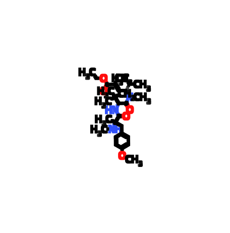 CCOC(=O)/C(C)=C/[C@H](C(C)C)N(C)C(=O)[C@@H](NC(=O)C(C)(Cc1ccc(OC)cc1)NC)C(C)(C)C